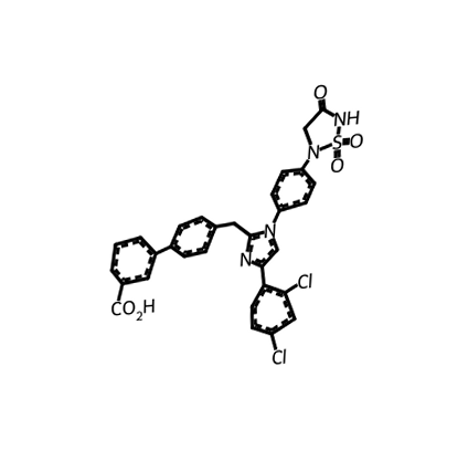 O=C1CN(c2ccc(-n3cc(-c4ccc(Cl)cc4Cl)nc3Cc3ccc(-c4cccc(C(=O)O)c4)cc3)cc2)S(=O)(=O)N1